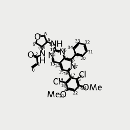 C=CC(=O)N[C@H]1COC[C@H]1Nc1ncc2cc(-c3c(Cl)c(OC)cc(OC)c3Cl)nc(-c3ccccc3)c2n1